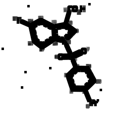 CC(C)c1ccc(S(=O)(=O)n2cc(C(=O)O)c3cc(F)ccc32)cc1